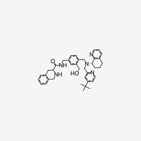 CC(C)(C)c1ccnc(CN(Cc2ccc(CNC(=O)C3Cc4ccccc4CN3)cc2CO)[C@H]2CCCc3cccnc32)c1